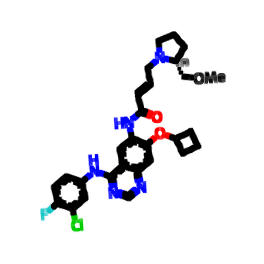 COC[C@H]1CCCN1CC=CC(=O)Nc1cc2c(Nc3ccc(F)c(Cl)c3)ncnc2cc1OC1CCC1